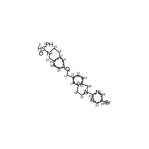 C[SH](=O)(P)N1CCc2cc(OCc3ccc4c(c3)CCN(c3ncc(Br)cn3)C4)ccc2C1